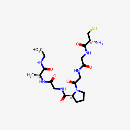 C[C@H](NC(=O)CNC(=O)[C@@H]1CCCN1C(=O)CNC(=O)CNC(=O)[C@@H](N)CS)C(=O)NCC(=O)O